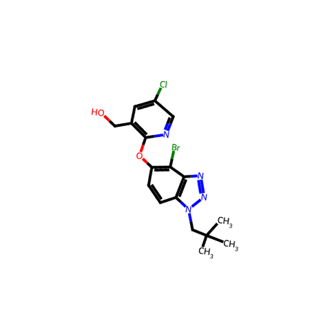 CC(C)(C)Cn1nnc2c(Br)c(Oc3ncc(Cl)cc3CO)ccc21